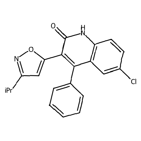 CC(C)c1cc(-c2c(-c3ccccc3)c3cc(Cl)ccc3[nH]c2=O)on1